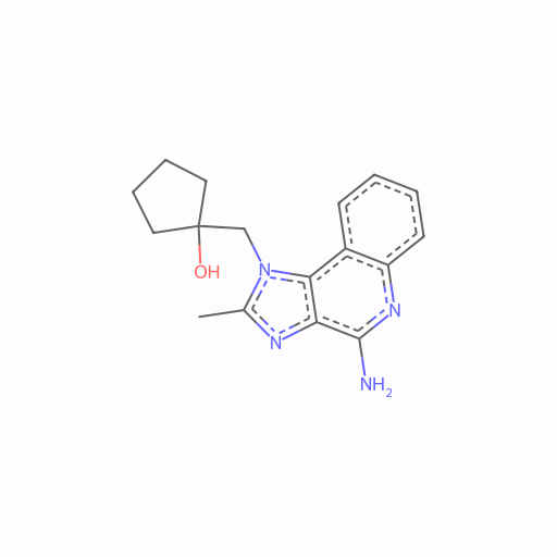 Cc1nc2c(N)nc3ccccc3c2n1CC1(O)CCCC1